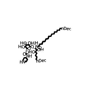 CCCCCCCCCCCCCCCCCCCCCCCCCC(=O)N[C@@H](CO[C@@H]1O[C@H](COC(=O)NC2CCNCC2)[C@H](O)[C@H](O)[C@H]1O)[C@H](O)[C@H](O)CCCCCCCCCCCCCC